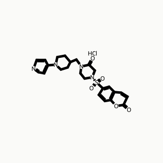 Cl.O=C1CN(S(=O)(=O)c2ccc3oc(=O)ccc3c2)CCN1CC1CCN(c2ccncc2)CC1